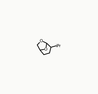 CC(C)C1CCC2COC1O2